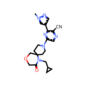 Cn1cc(-c2nc(N3CCC4(CC3)COCC(=O)N4CC3CC3)cnc2C#N)cn1